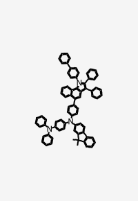 CC1(C)c2ccccc2-c2ccc(N(c3ccc(-c4cc5c(-c6ccccc6)c(-c6ccccc6)n(-c6ccc(-c7ccccc7)cc6)c5c5ccccc45)cc3)c3ccc(N(c4ccccc4)c4ccccc4)cc3)cc21